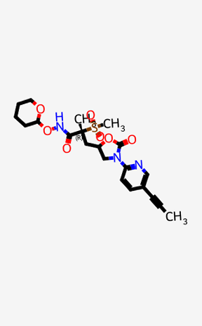 CC#Cc1ccc(N2CC(C[C@](C)(C(=O)NOC3CCCCO3)S(C)(=O)=O)OC2=O)nc1